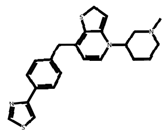 CN1CCCC(N2C=CC(Cc3ccc(-c4cscn4)cc3)=C3SCC=C32)C1